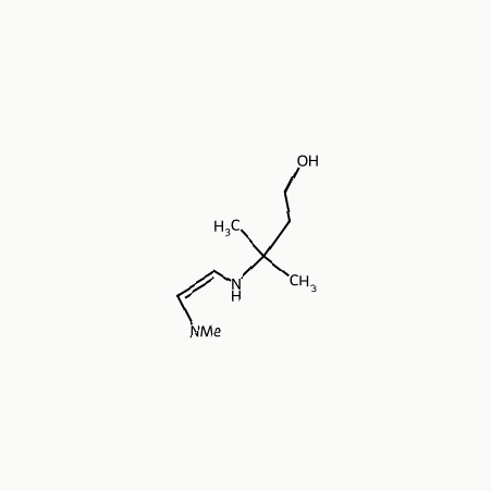 CN/C=C\NC(C)(C)CCO